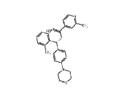 Cc1cc(/C(C[C@H](c2ccc(N3CCOCC3)cc2)c2ccccc2C)=N/O)ccn1